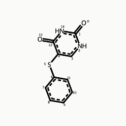 O=c1[nH]cc(Sc2ccccc2)c(=O)[nH]1